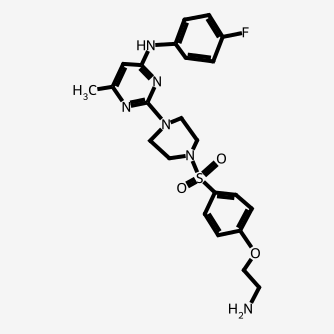 Cc1cc(Nc2ccc(F)cc2)nc(N2CCN(S(=O)(=O)c3ccc(OCCN)cc3)CC2)n1